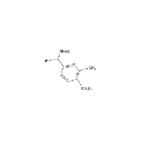 CCOC(=O)c1ccc(C(NC(C)=O)C(C)C)nc1C